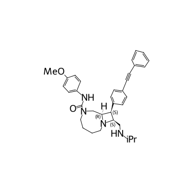 COc1ccc(NC(=O)N2CCCCN3[C@H](CNC(C)C)[C@H](c4ccc(C#Cc5ccccc5)cc4)[C@@H]3C2)cc1